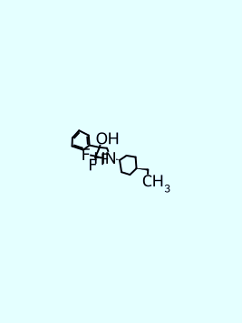 CC[C@H]1CC[C@H](NCC(O)(c2ccccc2)C(F)(F)F)CC1